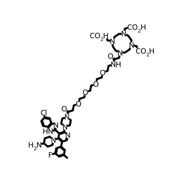 Cc1cc(F)cc(-c2cnc(N3CCN(C(=O)CCOCCOCCOCCOCCNC(=O)CN4CCN(CC(=O)O)CCN(CC(=O)O)CCN(CC(=O)O)CC4)CC3)c(-c3nc4cc(Cl)ccc4[nH]3)c2N2CCC(N)CC2)c1